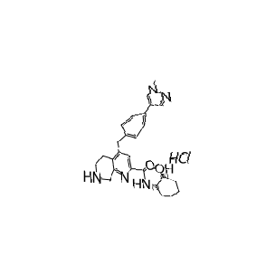 Cl.Cn1cc(-c2ccc(Cc3cc(C(=O)N[C@H]4CCCC[C@@H]4O)nc4c3CCNC4)cc2)cn1